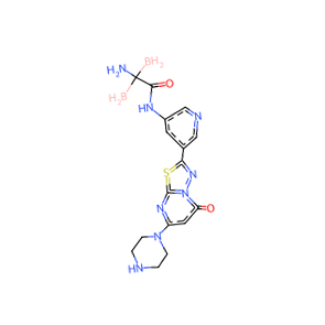 BC(B)(N)C(=O)Nc1cncc(-c2nn3c(=O)cc(N4CCNCC4)nc3s2)c1